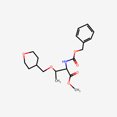 COC(=O)C(NC(=O)OCc1ccccc1)C(C)OCC1CCOCC1